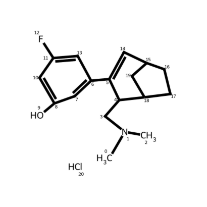 CN(C)CC1C(c2cc(O)cc(F)c2)=CC2CCC1C2.Cl